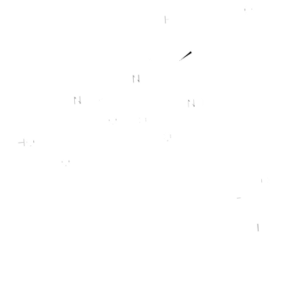 COCC(CO)n1cccc(N2C[C@@H](c3ccc(OC)cc3F)[C@H](NC(=O)c3ccc(OC(F)(F)F)cc3)C2=O)c1=O